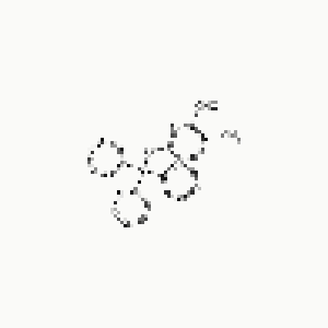 Cc1ccc(OC(c2ccccc2)(c2ccccc2)c2ccccc2)nc1C=O